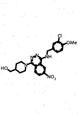 COc1ccc(CNc2nnc(N3CCC(CO)CC3)c3ccc([N+](=O)[O-])cc23)cc1Cl